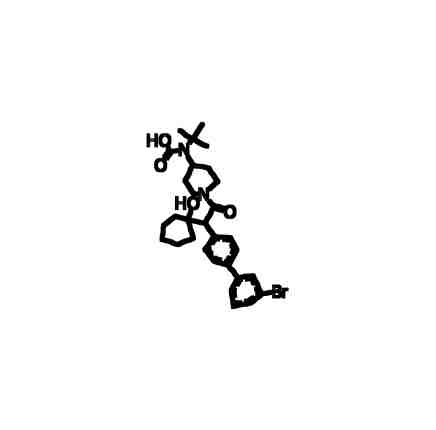 CC(C)(C)N(C(=O)O)C1CCN(C(=O)C(c2ccc(-c3cccc(Br)c3)cc2)C2(O)CCCCC2)CC1